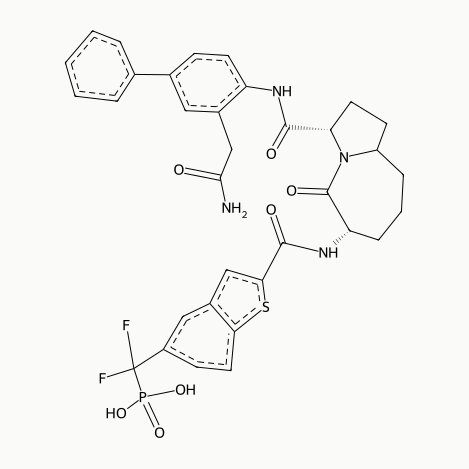 NC(=O)Cc1cc(-c2ccccc2)ccc1NC(=O)[C@@H]1CCC2CCC[C@H](NC(=O)c3cc4cc(C(F)(F)P(=O)(O)O)ccc4s3)C(=O)N21